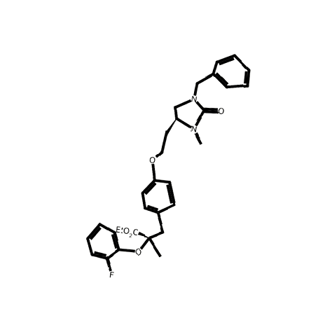 CCOC(=O)[C@](C)(Cc1ccc(OCC[C@H]2CN(Cc3ccccc3)C(=O)N2C)cc1)Oc1ccccc1F